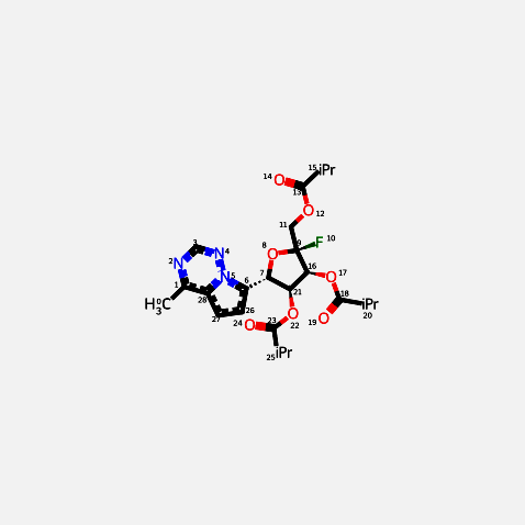 Cc1ncnn2c([C@@H]3O[C@](F)(COC(=O)C(C)C)[C@@H](OC(=O)C(C)C)[C@H]3OC(=O)C(C)C)ccc12